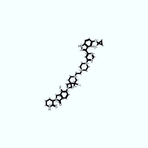 CC1(Oc2ccc3[nH]nc(-c4cc(N5CCN(CCN6CCC7(CN(c8ccc9c(c8F)CN(C8CCCNC8=O)C9=O)C7)C(F)(F)C6)CC5)ncn4)c3c2)CC1